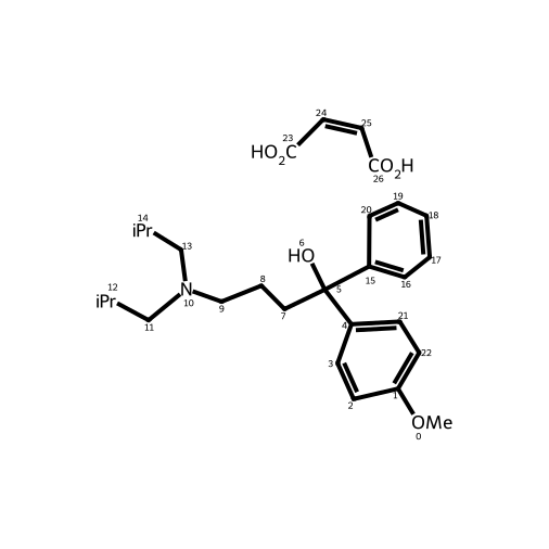 COc1ccc(C(O)(CCCN(CC(C)C)CC(C)C)c2ccccc2)cc1.O=C(O)/C=C\C(=O)O